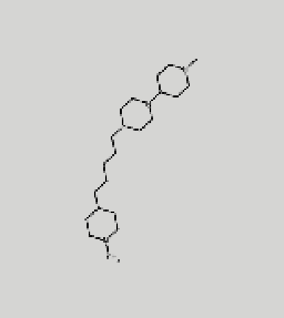 CN1CCC(CCCCCN2CCN(C3CCN(I)CC3)CC2)CC1